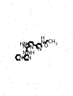 CCC(=O)Nc1cncc(-c2ccc3[nH]nc(-c4nc5c(N6CCCCC6)ccnc5[nH]4)c3n2)c1